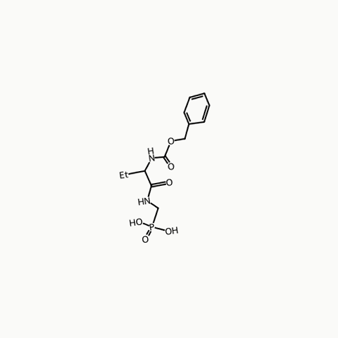 CCC(NC(=O)OCc1ccccc1)C(=O)NCP(=O)(O)O